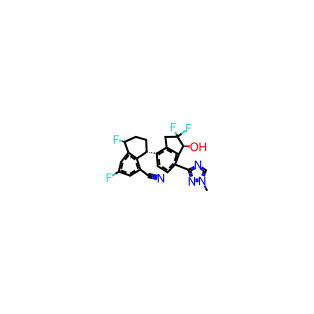 Cn1cnc(-c2ccc([C@H]3CC[C@H](F)c4cc(F)cc(C#N)c43)c3c2[C@H](O)C(F)(F)C3)n1